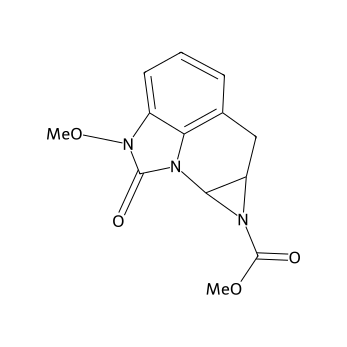 COC(=O)N1C2Cc3cccc4c3n(c(=O)n4OC)C21